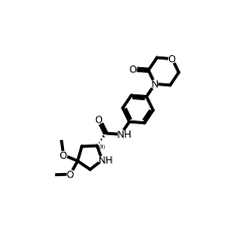 COC1(OC)CN[C@@H](C(=O)Nc2ccc(N3CCOCC3=O)cc2)C1